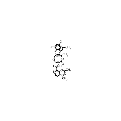 COc1ccnc(C(=O)N[C@H]2COC[C@H](Cc3ccc(Cl)cc3Cl)[C@@H](OCC(C)C)[C@H](C)OC2=O)c1OC(C)=O